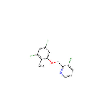 O=Cc1c(F)cc(F)cc1OCc1ncccc1F